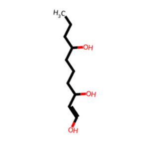 CCCC(O)CCCC(O)C=CO